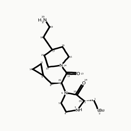 CC(C)(C)C[C@@H]1NCCN([C@@H](CC2CC2)C(=O)N2CCC(CCN)CC2)C1=O